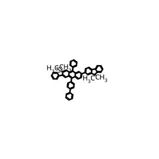 CC1(C)c2ccccc2-c2ccc(-c3ccc4c(-c5ccc(-c6ccccc6)cc5)c5cc6c(cc5c(-c5ccccc5)c4c3)[Si](C)(C)c3ccccc3-6)cc21